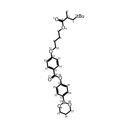 CC(CC(C)(C)C)C(=O)OCCCCOc1ccc(C(=O)Oc2ccc(B3OCCCO3)cc2)cc1